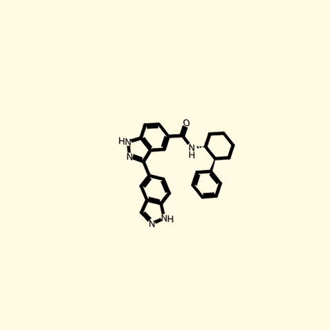 O=C(N[C@@H]1CCCC[C@H]1c1ccccc1)c1ccc2[nH]nc(-c3ccc4[nH]ncc4c3)c2c1